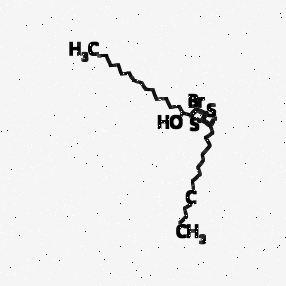 CCCCCCCCCCCCCCCc1csc2c(Br)c(C(O)CCCCCCCCCCCCCCC)sc12